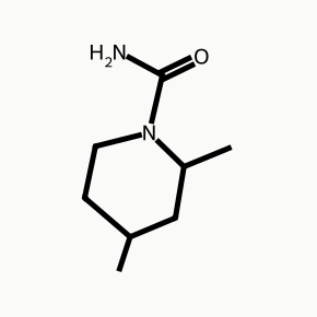 CC1CCN(C(N)=O)C(C)C1